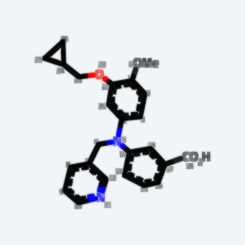 COc1ccc(N(Cc2cccnc2)c2cccc(C(=O)O)c2)cc1OCC1CC1